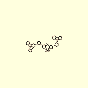 CC1(C)c2cc(-c3cccc(-c4cc5c6ccccc6n6c7sccc7c(c4)c56)c3)ccc2S(=O)(=O)c2ccc(-c3cccc(-n4c5ccccc5c5ccccc54)c3)cc21